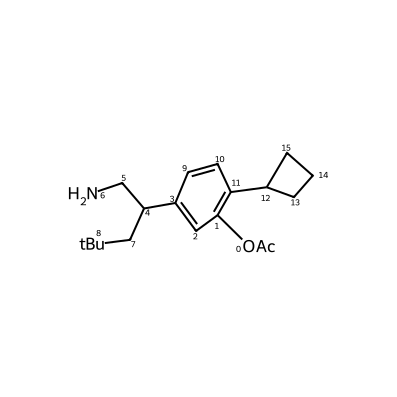 CC(=O)Oc1cc(C(CN)CC(C)(C)C)ccc1C1CCC1